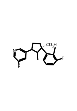 Cc1c(F)cccc1[C@]1(C(=O)O)CCC(c2cncc(F)c2)C1C